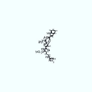 Cc1oc([C@H](CC(C)C)NC(=O)c2cc3ccccc3[nH]2)nc1C(=O)N[C@@H](CCCNC(=N)N)C(=O)O